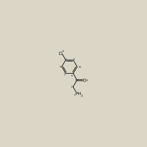 O=C(CP)c1ccc(Cl)cc1